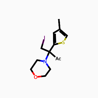 CC(=O)C(CI)(c1cc(C)cs1)N1CCOCC1